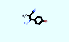 CC(C#N)=C(N)c1ccc(Br)cc1